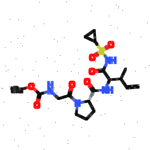 C=CC(C)C(NC(=O)[C@@H]1CCCN1C(=O)CNC(=O)OC(C)(C)C)C(=O)NS(=O)(=O)C1CC1